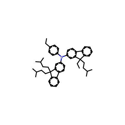 CCc1ccc(N(c2ccc3c(c2)C(CC)(CCC(C)C)c2ccccc2-3)c2ccc3c(c2)C(CCC(C)C)(CCC(C)C)c2ccccc2-3)cc1